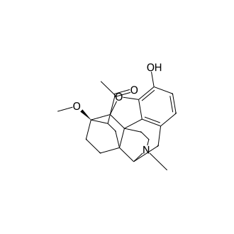 CO[C@]12CCC3(CC1C(C)=O)C1Cc4ccc(O)c5c4C3(CCN1C)C2O5